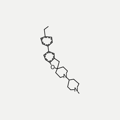 CCc1ccc(-c2ccc3c(c2)CC2(CCN(C4CCN(C)CC4)CC2)O3)cc1